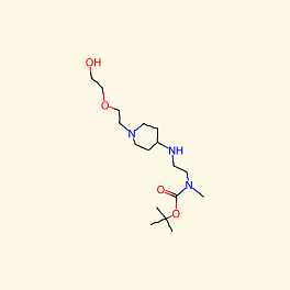 CN(CCNC1CCN(CCOCCO)CC1)C(=O)OC(C)(C)C